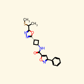 CSC(C)c1nnc([C@H]2C[C@H](NC(=O)c3cc(-c4ccccc4)no3)C2)o1